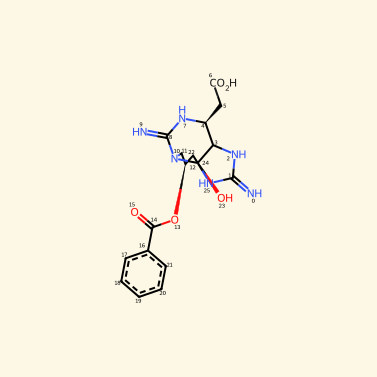 N=C1NC2[C@H](CC(=O)O)NC(=N)N3C[C@H](OC(=O)c4ccccc4)[C@@H](O)C23N1